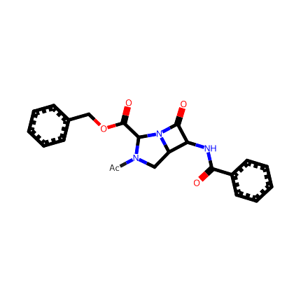 CC(=O)N1CC2C(NC(=O)c3ccccc3)C(=O)N2C1C(=O)OCc1ccccc1